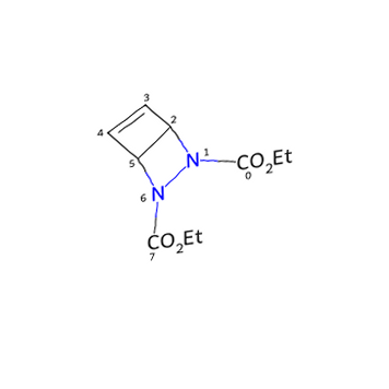 CCOC(=O)N1C2C=CC2N1C(=O)OCC